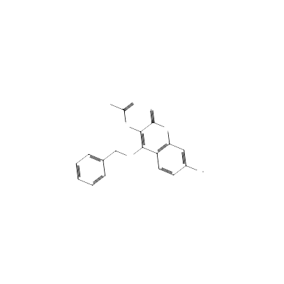 CC(=O)Oc1c(OCc2ccccc2)c2ccc(O)cc2oc1=O